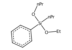 CCCO[Si](CCC)(OCC)c1ccccc1